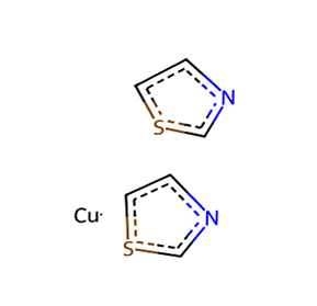 [Cu].c1cscn1.c1cscn1